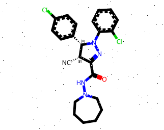 N#C[C@H]1C(C(=O)NN2CCCCCC2)=NN(c2ccccc2Cl)[C@H]1c1ccc(Cl)cc1